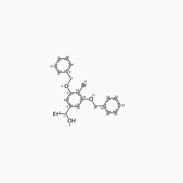 CCC(O)c1cc(OCc2ccccc2)c(Br)c(OCc2ccccc2)c1